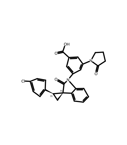 O=C(O)c1cc(N2CCCC2=O)cc(N2C(=O)[C@]3(C[C@H]3c3ccc(Cl)cc3)c3ccccc32)c1